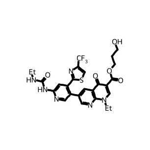 CCNC(=O)Nc1cc(-c2nc(C(F)(F)F)cs2)c(-c2cnc3c(c2)c(=O)c(C(=O)OCCCO)cn3CC)cn1